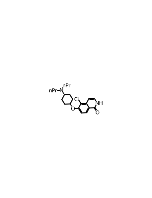 CCCN(CCC)[C@H]1CC[C@@H](Oc2ccc3c(=O)[nH]ccc3c2Cl)CC1